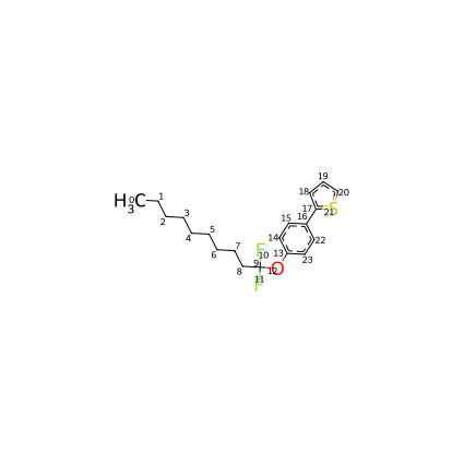 CCCCCCCCCC(F)(F)Oc1ccc(-c2cccs2)cc1